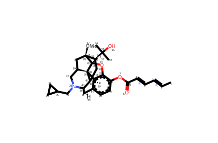 C/C=C/C=C/C(=O)Oc1ccc2c3c1O[C@H]1[C@]4(OC)CC5CN(CC6CC6)[C@H](C2)[C@](C)(C[C@@H]4C(C)(C)O)[C@]351